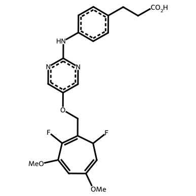 COC1=CC(F)C(COc2cnc(Nc3ccc(CCC(=O)O)cc3)nc2)=C(F)C(OC)=C1